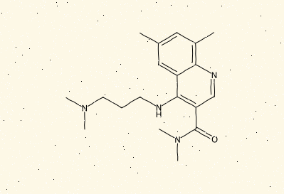 Cc1cc(C)c2ncc(C(=O)N(C)C)c(NCCCN(C)C)c2c1